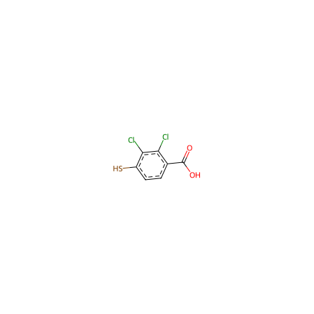 O=C(O)c1ccc(S)c(Cl)c1Cl